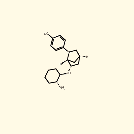 N#Cc1ccc(N2C[C@H]3C[C@H](N[C@@H]4CCCC[C@H]4N)[C@H]2C3)cc1